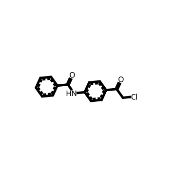 O=C(CCl)c1ccc(NC(=O)c2ccccc2)cc1